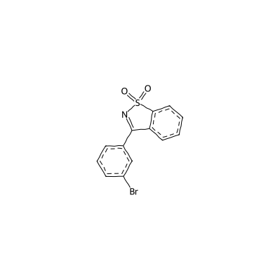 O=S1(=O)N=C(c2cccc(Br)c2)c2ccccc21